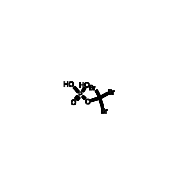 O=P(O)(O)OC(Br)(Br)Br